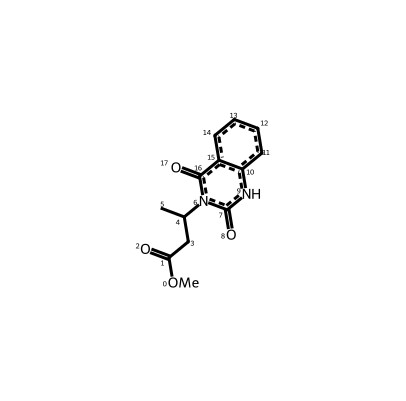 COC(=O)CC(C)n1c(=O)[nH]c2ccccc2c1=O